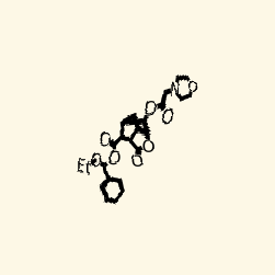 CCOC(OC(=O)C1C2CC3C(OC(=O)C31)C2OC(=O)CN1CCOCC1)C1CCCCC1